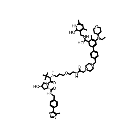 CCN(C1=C(C)C(C(O)NCC2=C(C)C=C(C)NC2O)CC(c2ccc(CN3CCN(CC(=O)NCCOCCCN[C@H](C(=O)N4C[C@H](O)C[C@H]4C(=O)NCc4ccc(-c5scnc5C)cc4)C(C)(C)C)CC3)cc2)=C1)C1CCOCC1